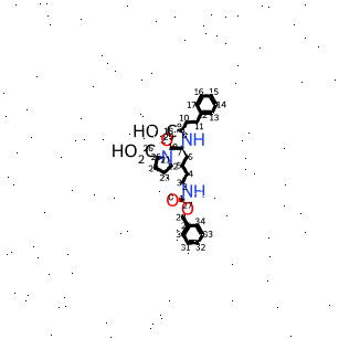 O=C(NCCCC[C@H](NC(CCc1ccccc1)C(=O)O)C(=O)N1CCC[C@H]1C(=O)O)OCc1ccccc1